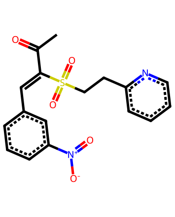 CC(=O)C(=Cc1cccc([N+](=O)[O-])c1)S(=O)(=O)CCc1ccccn1